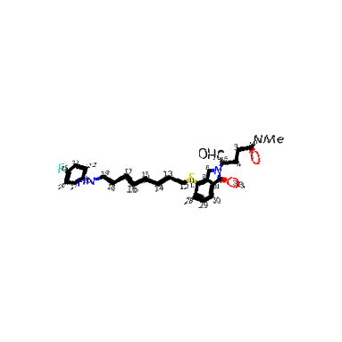 CNC(=O)CCC(C=O)N1Cc2c(SCCCCCCCCNc3ccc(F)cc3)cccc2C1=O